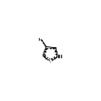 [Li][c]1cn[nH]c1